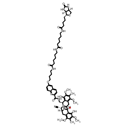 COc1c(C)c(OC)c2c(c1O)[C@@H]1[C@@H]3Cc4c(OC)c(C)c(OC)c(O)c4[C@H](CNC(=O)c4ccc5cc(OCCCCNC(=O)CCCCCNC(=O)CCCCCNC(=O)CCCC[C@@H]6SC[C@@H]7NC(=O)N[C@@H]76)ccc5n4)N3[C@@H](C#N)[C@H](C2)N1C